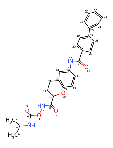 CC(C)NC(=O)ONC(=O)C1CCc2cc(NC(=O)c3ccc(-c4ccccc4)cc3)ccc2O1